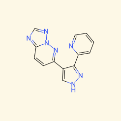 c1ccc(-c2n[nH]cc2-c2ccc3ncnn3n2)nc1